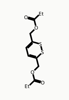 CCC(=O)OCC1=CC=C(COC(=O)CC)SS1